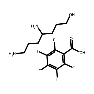 NCCCC(N)CCCO.O=C(O)c1c(F)c(F)c(F)c(F)c1F